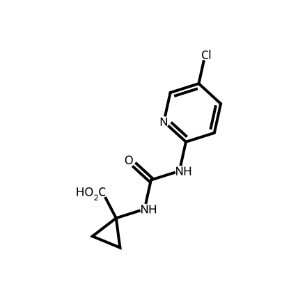 O=C(Nc1ccc(Cl)cn1)NC1(C(=O)O)CC1